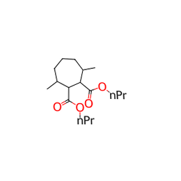 CCCOC(=O)C1C(C)CCCC(C)C1C(=O)OCCC